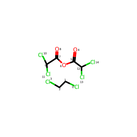 ClCCCl.O=C(OC(=O)C(Cl)Cl)C(Cl)Cl